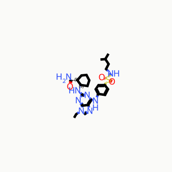 CCn1cnc2c(Nc3ccc(S(=O)(=O)NCCC(C)C)cc3)nc(N[C@H]3CCCC[C@H]3C(N)=O)nc21